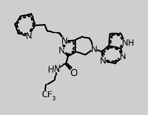 O=C(NCCC(F)(F)F)c1nn(CCCc2ccccn2)c2c1CN(c1ncnc3[nH]ccc13)CC2